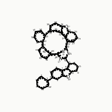 c1ccc(-c2ccc3c(c2)oc2cccc(-c4nc5nc(n4)c4cccc6oc7ccc(cc7c64)c4ccccc4c4cccc5c4)c23)cc1